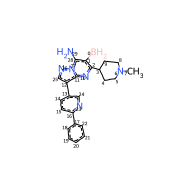 Bc1c(C2CCN(C)CC2)nc2c(-c3ccc(-c4ccccc4)nc3)cnn2c1N